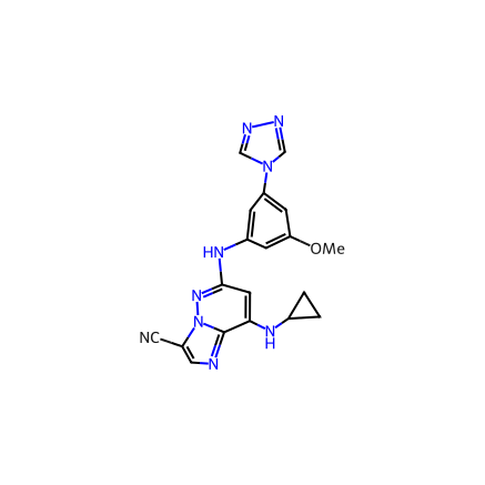 COc1cc(Nc2cc(NC3CC3)c3ncc(C#N)n3n2)cc(-n2cnnc2)c1